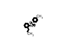 C=CCc1ccccc1NS(=O)(=O)c1ccc(C)cc1